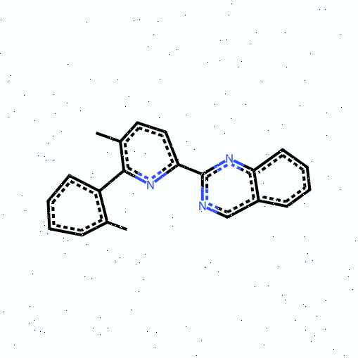 Cc1ccccc1-c1nc(-c2ncc3ccccc3n2)ccc1C